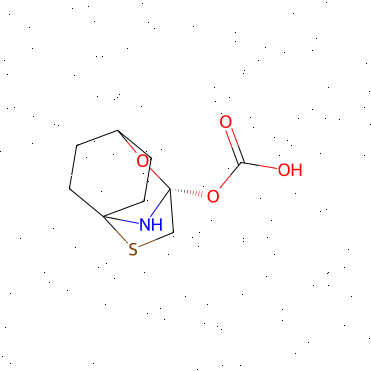 O=C(O)O[C@@]12CSC3(CCC(CC3)O1)N2